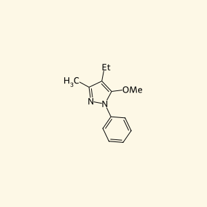 CCc1c(C)nn(-c2ccccc2)c1OC